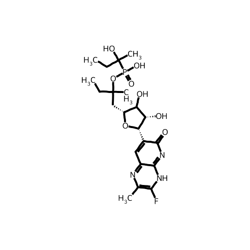 CCC(C)(C[C@H]1O[C@@H](c2cc3nc(C)c(F)[nH]c-3nc2=O)[C@@H](O)C1O)OP(=O)(O)C(C)(O)CC